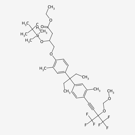 CCOC(=O)CC(COc1ccc(C(CC)(CC)c2ccc(C#CC(OCOC)(C(F)(F)F)C(F)(F)F)c(C)c2)cc1C)O[Si](C)(C)C(C)(C)C